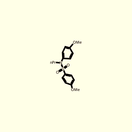 CCCN(c1ccc(OC)cc1)S(=O)(=O)c1ccc(OC)cc1